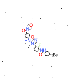 Cn1cc(-c2cccc(NC(=O)c3ccc(C(C)(C)C)cc3)c2F)nc(Nc2ccc(C(=O)N3CCOCC3)cc2)c1=O